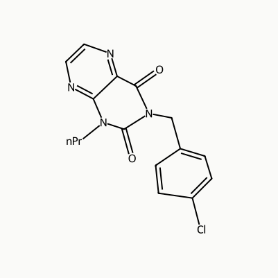 CCCn1c(=O)n(Cc2ccc(Cl)cc2)c(=O)c2nccnc21